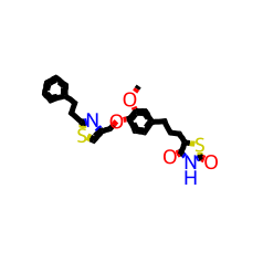 COc1cc(CCCC2SC(=O)NC2=O)ccc1OCc1csc(CCc2ccccc2)n1